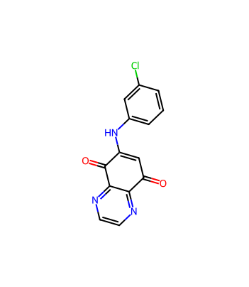 O=C1C=C(Nc2cccc(Cl)c2)C(=O)c2nccnc21